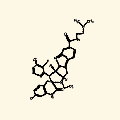 CCN1[C@H]2Cc3c4ccc(C(=O)NCCN(C)C)cc4nn3[C@H]2[C@H](c2cccc(Cl)c2F)[C@@]12Cc1ccc(Cl)cc1NC2=O